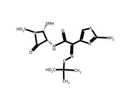 CS[C@@H]1[C@H](NC(=O)/C(=N\OC(C)(C)C(=O)O)c2csc(N)n2)C(=O)N1S(=O)(=O)O